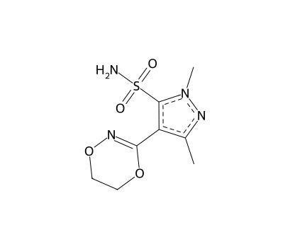 Cc1nn(C)c(S(N)(=O)=O)c1C1=NOCCO1